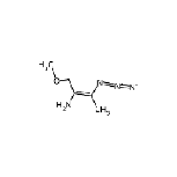 COC/C(N)=C(/C)N=[N+]=[N-]